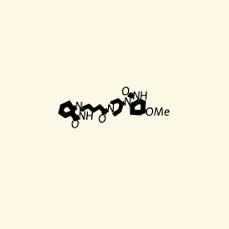 COc1ccc2c(c1)[nH]c(=O)n2C1CCN(C(=O)CCCc2nc3ccccc3c(=O)[nH]2)CC1